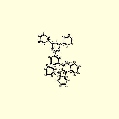 c1ccc(-c2cc(-c3ccccc3)nc(-c3cccc(-c4nc5ccccc5c5c6ccccc6n(-c6ccccc6)c45)c3)n2)cc1